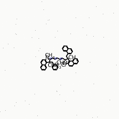 Cc1ccccc1CC1(C)\C(=C/C=C/C=C/C2=[N+](C)c3ccc4ccccc4c3C2(C)Cc2cccc3ccccc23)N(C)c2ccc3ccccc3c21